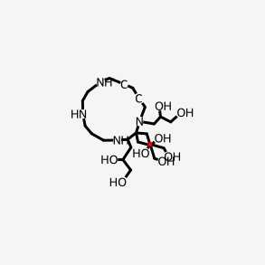 OCC(O)CC1NCCCNCCNCCCCCN(CC(O)CO)C1(CC(O)CO)CC(O)CO